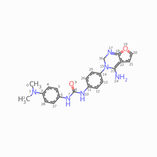 CN(C)c1ccc(NC(=O)Nc2ccc(N3CN=c4occc4=C3N)cc2)cc1